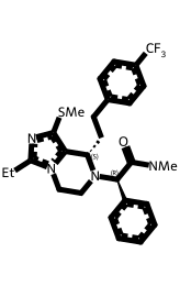 CCc1nc(SC)c2n1CCN([C@@H](C(=O)NC)c1ccccc1)[C@H]2CCc1ccc(C(F)(F)F)cc1